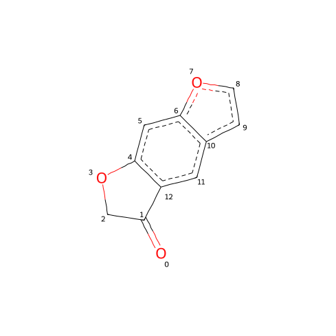 O=C1COc2cc3occc3cc21